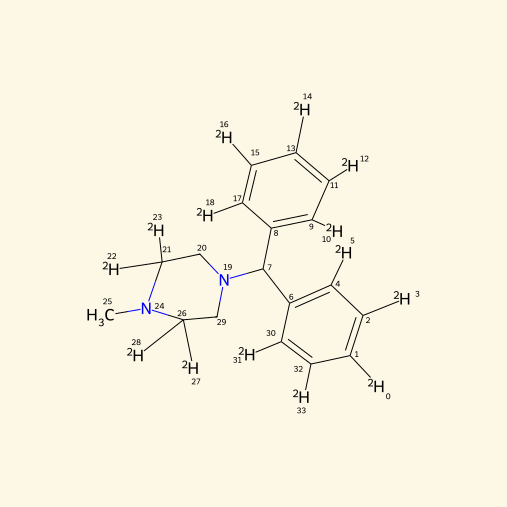 [2H]c1c([2H])c([2H])c(C(c2c([2H])c([2H])c([2H])c([2H])c2[2H])N2CC([2H])([2H])N(C)C([2H])([2H])C2)c([2H])c1[2H]